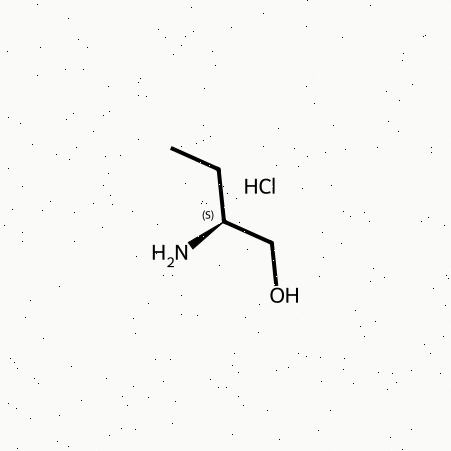 CC[C@H](N)CO.Cl